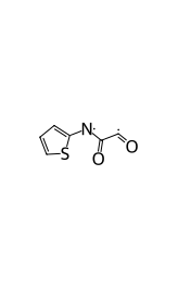 O=[C]C(=O)[N]c1cccs1